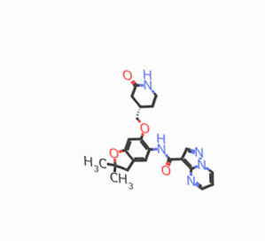 CC1(C)Cc2cc(NC(=O)c3cnn4cccnc34)c(OC[C@H]3CCNC(=O)C3)cc2O1